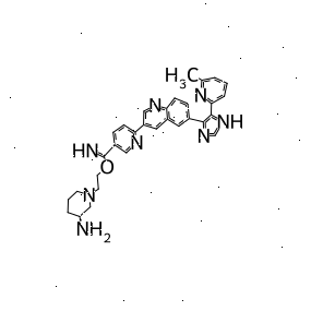 Cc1cccc(-c2[nH]cnc2-c2ccc3ncc(-c4ccc(C(=N)OCCN5CCC[C@H](N)C5)cn4)cc3c2)n1